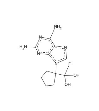 Nc1nc(N)c2ncn(C3(C(O)(O)F)CCCC3)c2n1